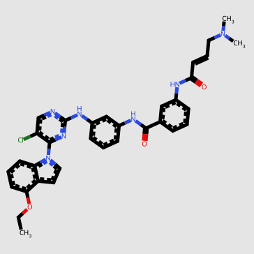 CCOc1cccc2c1ccn2-c1nc(Nc2cccc(NC(=O)c3cccc(NC(=O)C=CCN(C)C)c3)c2)ncc1Cl